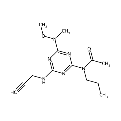 C#CCNc1nc(N(C)OC)nc(N(CCC)C(C)=O)n1